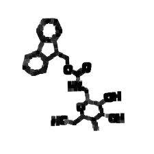 C=C1C(CO)OC(CNC(=O)OCC2c3ccccc3-c3ccccc32)C(O)C1O